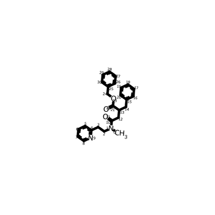 CN(CCc1ccccn1)C(=O)CC(Cc1ccccc1)C(=O)OCc1ccccc1